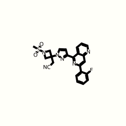 CS(=O)(=O)N1CC(CC#N)(n2ccc(-c3nc(-c4ccccc4F)cc4ncccc34)n2)C1